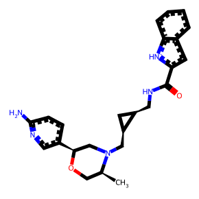 C[C@H]1CO[C@@H](c2ccc(N)nc2)CN1C[C@H]1C[C@H]1CNC(=O)c1cc2ccccc2[nH]1